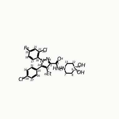 CCc1c(C(=O)NN2CCS(O)(O)CC2)nn(-c2ccc(F)cc2Cl)c1-c1ccc(Cl)cc1